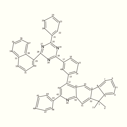 CC1(C)c2ccccc2-c2cc3c(-c4cccc(-c5nc(-c6ccccc6)nc(-c6cccc7ccccc67)n5)c4)cc(-c4ccccc4)nc3cc21